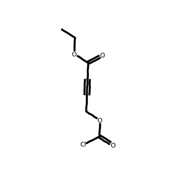 CCOC(=O)C#CCOC(=O)Cl